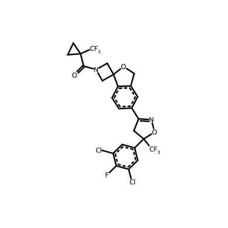 O=C(N1CC2(C1)OCc1cc(C3=NOC(c4cc(Cl)c(F)c(Cl)c4)(C(F)(F)F)C3)ccc12)C1(C(F)(F)F)CC1